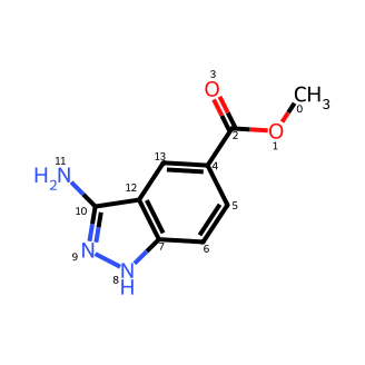 COC(=O)c1ccc2[nH]nc(N)c2c1